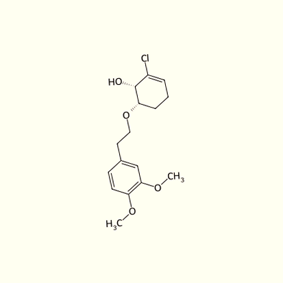 COc1ccc(CCO[C@H]2CCC=C(Cl)[C@H]2O)cc1OC